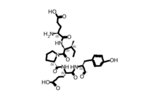 CC[C@H](C)[C@H](NC(=O)[C@@H](N)CCC(=O)O)C(=O)N1CCC[C@H]1C(=O)N[C@@H](CCC(=O)O)C(=O)N[C@H]([C]=O)Cc1ccc(O)cc1